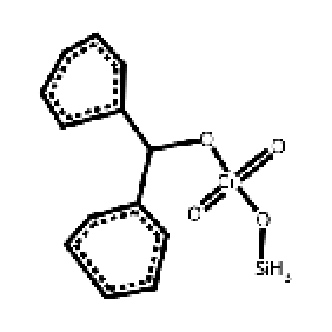 [O]=[Cr](=[O])([O][SiH3])[O]C(c1ccccc1)c1ccccc1